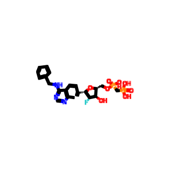 C=C(/C=C\c1c(C)ncnc1NCc1ccccc1)[C@@H]1O[C@H](COP(=O)(O)CP(=O)(O)O)[C@@H](O)[C@@H]1F